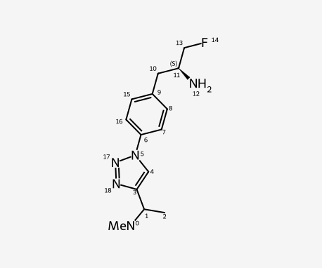 CNC(C)c1cn(-c2ccc(C[C@H](N)CF)cc2)nn1